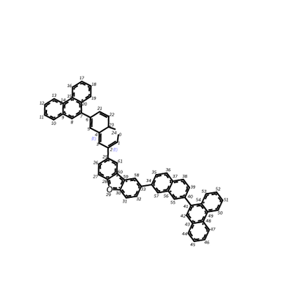 C/C=C(\C=C1\C=C(c2cc3ccccc3c3ccccc23)C=CC1C)c1ccc2oc3ccc(-c4ccc5ccc(-c6cc7ccccc7c7ccccc67)cc5c4)cc3c2c1